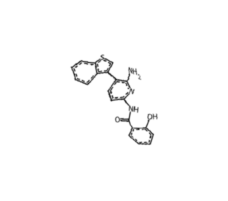 Nc1nc(NC(=O)c2ccccc2O)ccc1-c1csc2ccccc12